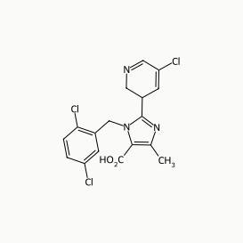 Cc1nc(C2C=C(Cl)C=NC2)n(Cc2cc(Cl)ccc2Cl)c1C(=O)O